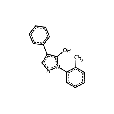 Cc1ccccc1-n1ncc(-c2ccccc2)c1O